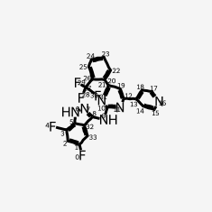 Fc1cc(F)c2[nH]nc(Nc3nc(-c4ccncc4)cc(-c4ccccc4C(F)(F)F)n3)c2c1